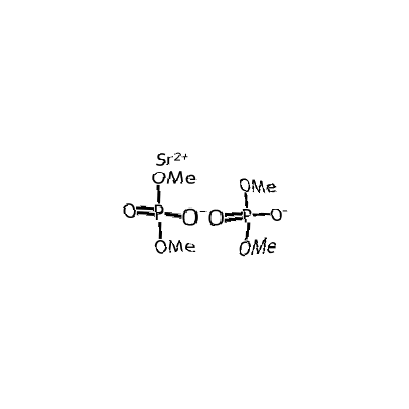 COP(=O)([O-])OC.COP(=O)([O-])OC.[Sr+2]